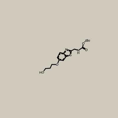 CC(C)(C)OC(=O)NCc1nc2ccc(OCCCO)cc2s1